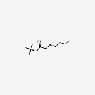 CCCCCCC(=O)CC(C)(C)C